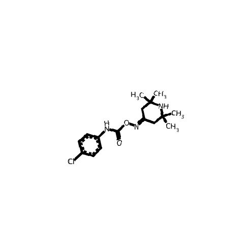 CC1(C)CC(=NOC(=O)Nc2ccc(Cl)cc2)CC(C)(C)N1